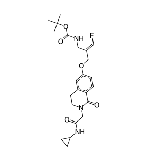 CC(C)(C)OC(=O)NC/C(=C\F)COc1ccc2c(c1)CCN(CC(=O)NC1CC1)C2=O